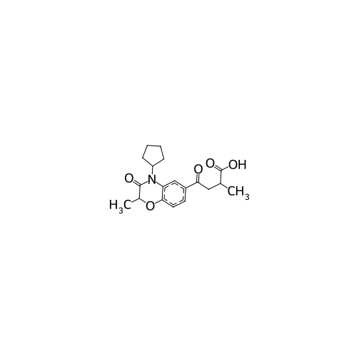 CC(CC(=O)c1ccc2c(c1)N(C1CCCC1)C(=O)C(C)O2)C(=O)O